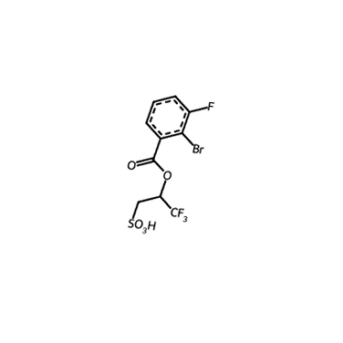 O=C(OC(CS(=O)(=O)O)C(F)(F)F)c1cccc(F)c1Br